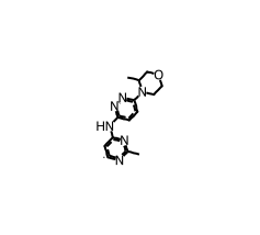 Cc1n[c]cc(Nc2ccc(N3CCOCC3C)nn2)n1